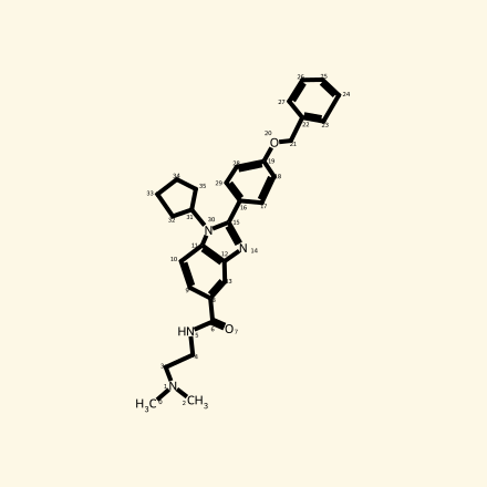 CN(C)CCNC(=O)c1ccc2c(c1)nc(-c1ccc(OCc3ccccc3)cc1)n2C1CCCC1